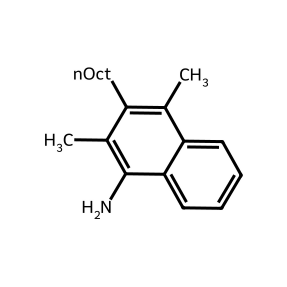 CCCCCCCCc1c(C)c(N)c2ccccc2c1C